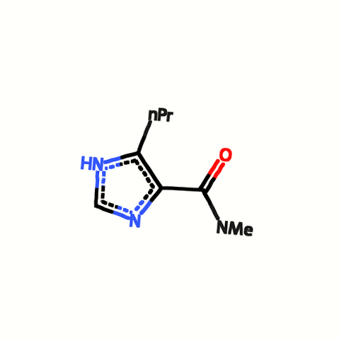 CCCc1[nH]cnc1C(=O)NC